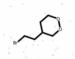 BrCCC1CCOOC1